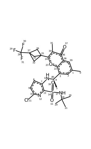 Cc1cc([C@@H](C)Nc2ccc(Cl)nc2S(=O)(=O)NC(C)(C)C)c2oc(C34CC(C(F)(F)F)(C3)C4)c(C)c(=O)c2c1